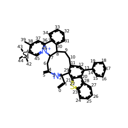 C=C/C1=N/C(=C)CC2C(CCc3cc(-c4ccccc4)c4c(sc5ccccc54)c31)c1ccccc1-c1cc(C)c([Si](C)(C)C)c[n+]12